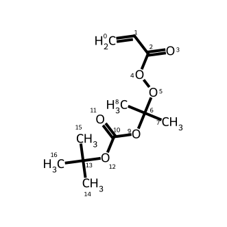 C=CC(=O)OOC(C)(C)OC(=O)OC(C)(C)C